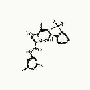 CC1=CC(c2ccccc2C(F)(F)F)NN2C(C(=O)Nc3cc(C)nc(C)c3)=CNC12